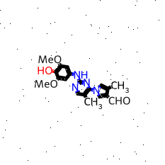 COc1cc(Nc2ncc(C)c(-n3cc(C)c(C=O)c3)n2)cc(OC)c1O